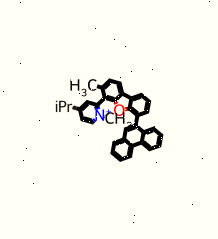 Cc1ccc2c(oc3c(-c4cc5ccccc5c5ccccc45)cccc32)c1-c1cc(C(C)C)cc[n+]1C